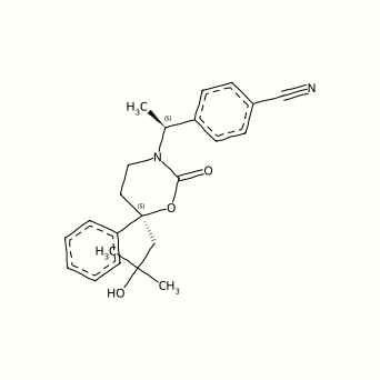 C[C@@H](c1ccc(C#N)cc1)N1CC[C@](CC(C)(C)O)(c2ccccc2)OC1=O